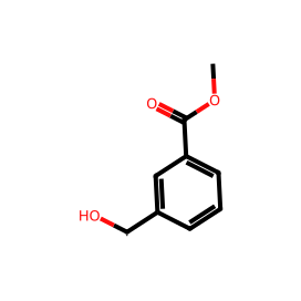 COC(=O)c1cccc([CH]O)c1